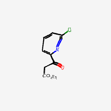 CCOC(=O)CC(=O)c1cccc(Cl)n1